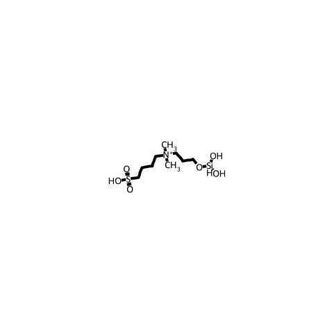 C[N+](C)(CCCCS(=O)(=O)O)CCCO[SiH](O)O